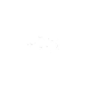 NC(N)=NC1SC=CS1